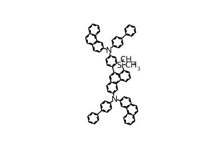 C[Si]1(C)c2cc(N(c3ccc(-c4ccccc4)cc3)c3ccc4ccc5ccccc5c4c3)ccc2-c2cc3ccc(N(c4ccc(-c5ccccc5)cc4)c4ccc5ccc6ccccc6c5c4)cc3c3cccc1c23